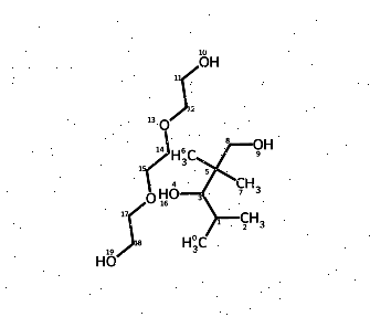 CC(C)C(O)C(C)(C)CO.OCCOCCOCCO